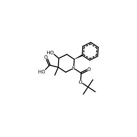 CC(C)(C)OC(=O)N1CC(C)(C(=O)O)C(O)C[C@H]1c1ccccc1